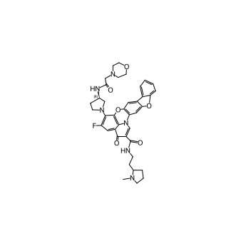 CN1CCCC1CCNC(=O)c1cn2c3c(c(N4CC[C@@H](NC(=O)CN5CCOCC5)C4)c(F)cc3c1=O)Oc1cc3c(cc1-2)oc1ccccc13